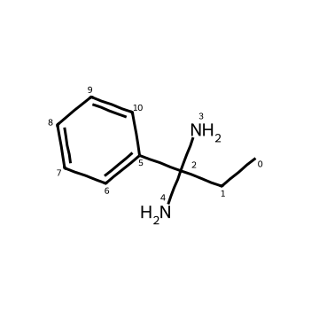 CCC(N)(N)c1ccccc1